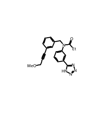 CCC(=O)N(Cc1cccc(C#CCOC)c1)c1cccc(-c2nnn[nH]2)c1